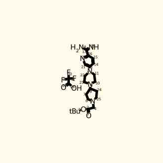 CC(C)(C)OC(=O)CN1CCC(N2CCN(c3ccc(C(=N)N)nc3)CC2)CC1.O=C(O)C(F)(F)F